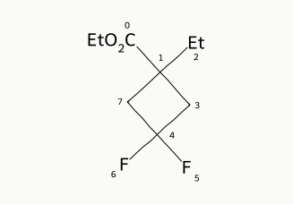 CCOC(=O)C1(CC)CC(F)(F)C1